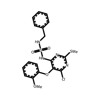 COc1ccccc1Oc1c(Cl)nc(SC)nc1NS(=O)(=O)NCc1ccccc1